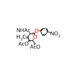 CC(=O)NC1[C@H](Oc2ccc([N+](=O)[O-])cc2)OC(COC(C)=O)[C@H](OC(C)=O)[C@@H]1C